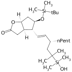 CCCCC[C@@H](/C=C/[C@@H]1[C@H]2CC(=O)O[C@H]2C[C@H]1O[Si](C)(C)C(C)(C)C)CC(C)(C)[Si](C)(C)O